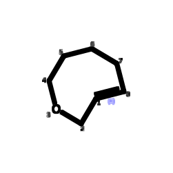 C1=C/COCCCC/1